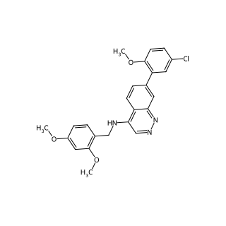 COc1ccc(CNc2cnnc3cc(-c4cc(Cl)ccc4OC)ccc23)c(OC)c1